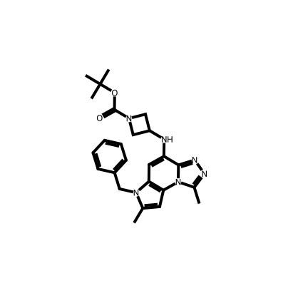 Cc1cc2c(cc(NC3CN(C(=O)OC(C)(C)C)C3)c3nnc(C)n32)n1Cc1ccccc1